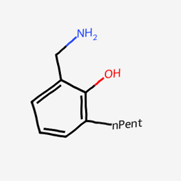 CCCCCc1cccc(CN)c1O